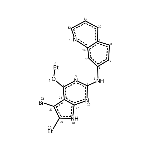 CCOc1nc(Nc2ccc3cccnc3c2)nc2[nH]c(CC)c(Br)c12